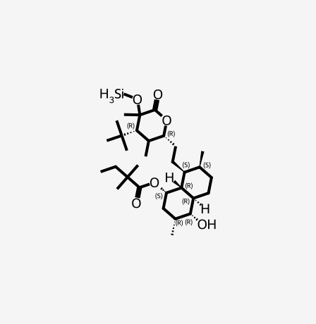 CCC(C)(C)C(=O)O[C@H]1C[C@@H](C)[C@@H](O)[C@@H]2CC[C@H](C)[C@H](CC[C@H]3OC(=O)C(C)(O[SiH3])[C@@H](C(C)(C)C)C3C)[C@H]21